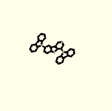 c1ccc2c(c1)c1ccccc1n2-c1ccc2sc3c(-n4c5ccccc5c5ccccc54)cncc3c2c1